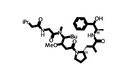 CCC(C)C(C(CC(=O)N1CCC[C@H]1CC(C)C(=O)N[C@H](C)C(O)c1ccccc1)OC)N(C)C(=O)CNC(=O)CC(C)C